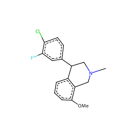 COc1cccc2c1CN(C)CC2c1ccc(Cl)c(F)c1